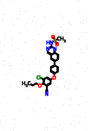 CCCOc1c(Cl)cc(Oc2ccc(-c3ccc4nc(NS(C)(=O)=O)ncc4c3)cc2)cc1C#N